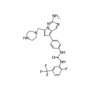 Nc1ncc2c(-c3ccc(NC(=O)Nc4cc(C(F)(F)F)ccc4F)cc3)cc(CN3CCNCC3)n2n1